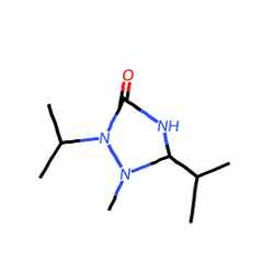 CC(C)C1NC(=O)N(C(C)C)N1C